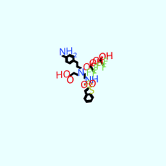 NCc1ccc(CCCN(CCNS(=O)(=O)c2cc3ccccc3s2)CCC(=O)O)cc1.O=C(O)C(F)(F)F.O=C(O)C(F)(F)F